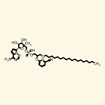 CCCCCCCCCCCCCCCCCCOCC(COP(=O)(O)OC[C@@]1(C)O[C@@H](c2ccc3c(N)ncnn23)[C@H](O)[C@@H]1O)Oc1cccc(C#N)n1